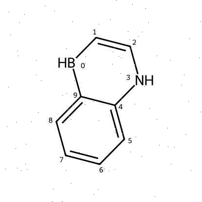 B1C=CNc2ccccc21